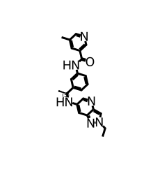 CCn1cc2ncc(N[C@@H](C)c3cccc(NC(=O)c4cncc(C)c4)c3)cc2n1